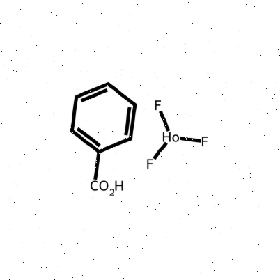 O=C(O)c1ccccc1.[F][Ho]([F])[F]